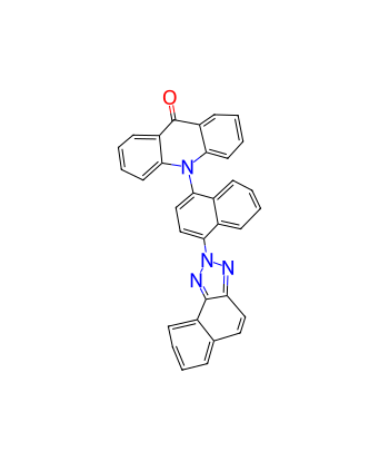 O=c1c2ccccc2n(-c2ccc(-n3nc4ccc5ccccc5c4n3)c3ccccc23)c2ccccc12